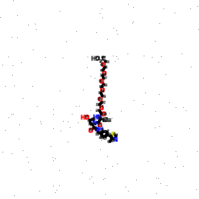 Cc1ncsc1-c1ccc(CNC(=O)[C@H]2C[C@H](O)CN2C(=O)[C@@H](NC(=O)COCCOCCOCCOCCOCCOCC(=O)O)C(C)(C)C)cc1